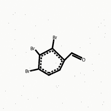 O=Cc1ccc(Br)c(Br)c1Br